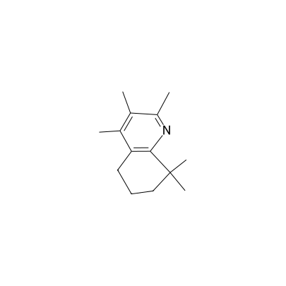 Cc1nc2c(c(C)c1C)CCCC2(C)C